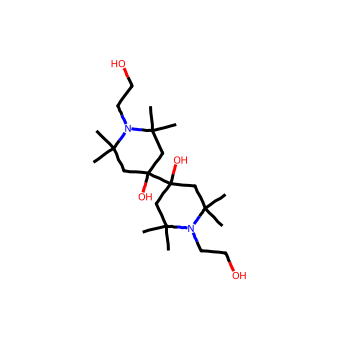 CC1(C)CC(O)(C2(O)CC(C)(C)N(CCO)C(C)(C)C2)CC(C)(C)N1CCO